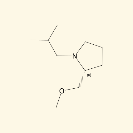 COC[C@H]1CCCN1CC(C)C